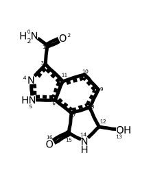 NC(=O)c1n[nH]c2c3c(ccc12)C(O)NC3=O